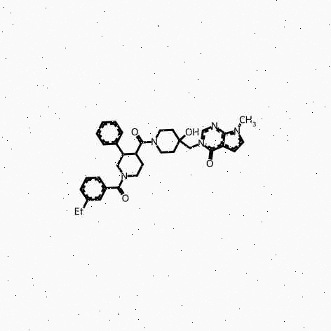 CCc1cccc(C(=O)N2CCC(C(=O)N3CCC(O)(Cn4cnc5c(ccn5C)c4=O)CC3)C(c3ccccc3)C2)c1